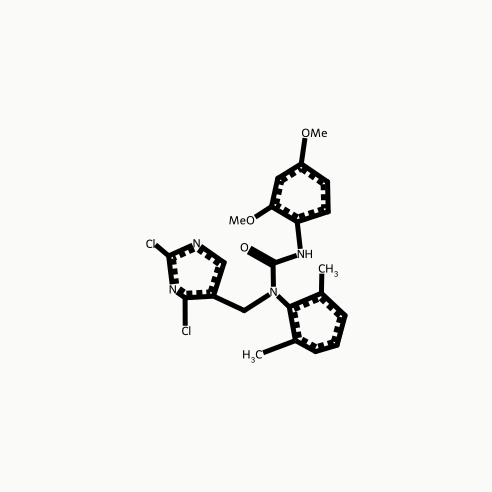 COc1ccc(NC(=O)N(Cc2cnc(Cl)nc2Cl)c2c(C)cccc2C)c(OC)c1